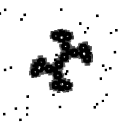 CC1(C)c2ccccc2C=C(c2ccc(N(c3ccc(C4=Cc5ccccc5C(C)(C)c5ccccc54)cc3)c3ccc(-c4ccc(N(c5ccc(C6=Cc7ccccc7C(C)(C)c7ccccc76)cc5)c5ccc(C6=Cc7ccccc7C(C)(C)c7ccccc76)cc5)cc4)cc3)cc2)c2ccccc21